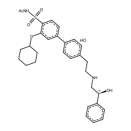 CC(=O)NS(=O)(=O)c1ccc(-c2ccc(CCNC[C@@H](O)c3ccccc3)cc2)cc1OC1CCCCC1.Cl